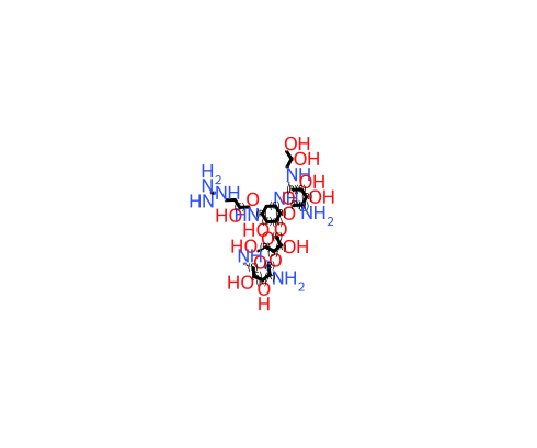 N=C(N)NCC[C@H](O)C(=O)N[C@@H]1C[C@H](N)[C@@H](O[C@H]2O[C@H](CNCC(O)CO)[C@@H](O)[C@H](O)[C@H]2N)[C@H](O[C@@H]2O[C@H](CO)[C@@H](O[C@H]3O[C@@H](CN)[C@@H](O)[C@H](O)[C@H]3N)[C@H]2O)[C@H]1O